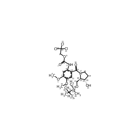 COc1cc(NC(=O)OCC(Cl)(Cl)Cl)c(C(=O)N2CC[C@H](O)[C@H]2CO[Si](C)(C)C(C)(C)C)cc1OC